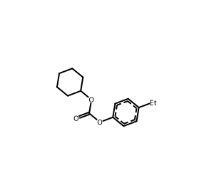 CCc1ccc(OC(=O)OC2CCCCC2)cc1